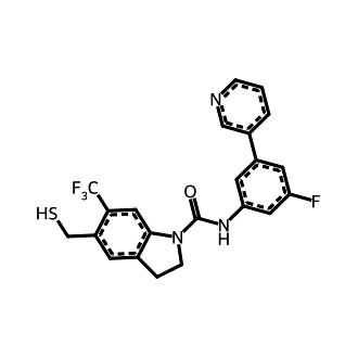 O=C(Nc1cc(F)cc(-c2cccnc2)c1)N1CCc2cc(CS)c(C(F)(F)F)cc21